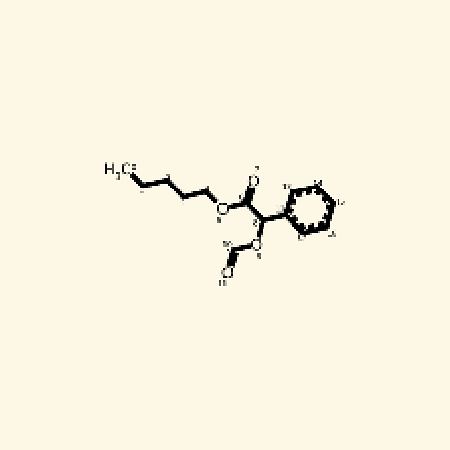 CCCCCOC(=O)C(O[C]=O)c1ccccc1